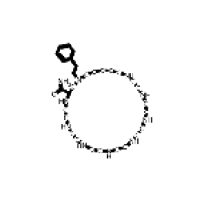 NC(=O)C1CN(CCc2ccccc2)CCCCCNCCNCCNCCNCCNCCNCCNCCN1